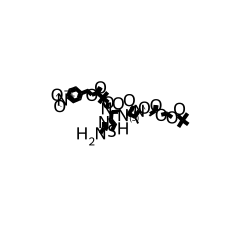 C[C@H]1[C@H](NC(=O)C(=NOC(C)(C)C(=O)OCc2ccc([N+](=O)[O-])cc2)c2csc(N)n2)C(=O)N1OCC(=O)OCOC(=O)C(C)(C)C